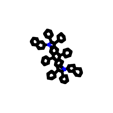 c1ccc(-c2c3cc4c(-c5ccccc5)c(-c5ccccc5)n(-c5ccc6ccccc6c5)c4cc3c(-c3ccccc3)c3cc4c(-c5ccccc5)c(-c5ccccc5)n(-c5ccc6ccccc6c5)c4cc23)cc1